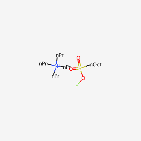 CCCCCCCCS(=O)(=O)OF.CCC[N+](CCC)(CCC)CCC